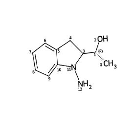 C[C@@H](O)C1Cc2ccccc2N1N